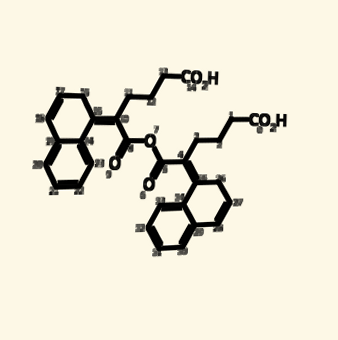 O=C(O)CCC/C(C(=O)OC(=O)/C(CCCC(=O)O)=C1/CC=Cc2ccccc21)=C1\CC=Cc2ccccc21